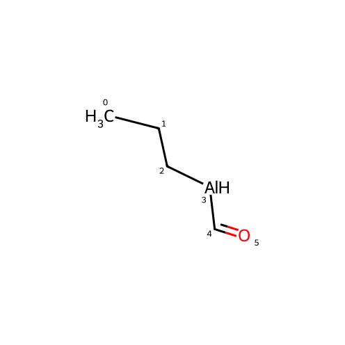 CC[CH2][AlH][CH]=O